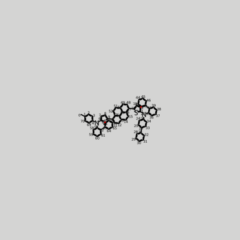 Cc1ccc(N(c2ccc(-c3ccc4ccc5c(-c6ccc(N(c7ccc(-c8ccccc8)cc7)c7ccccc7-c7ccccc7)s6)ccc6ccc3c4c65)s2)c2ccccc2-c2ccccc2)cc1